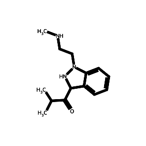 CNCCN1NC(C(=O)C(C)C)c2ccccc21